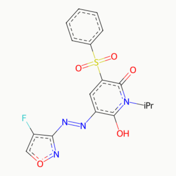 CC(C)n1c(O)c(N=Nc2nocc2F)cc(S(=O)(=O)c2ccccc2)c1=O